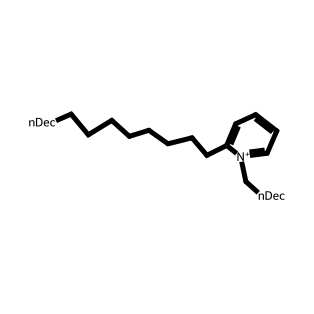 CCCCCCCCCCCCCCCCCCc1cccc[n+]1CCCCCCCCCCC